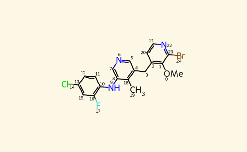 COc1c(Cc2cncc(Nc3ccc(Cl)cc3F)c2C)ccnc1Br